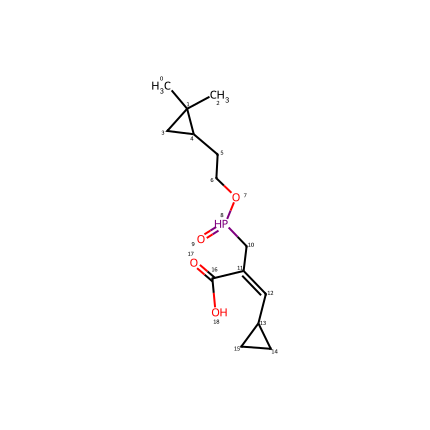 CC1(C)CC1CCO[PH](=O)CC(=CC1CC1)C(=O)O